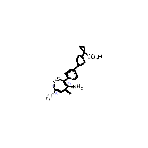 C=C1/C=C(C(F)(F)F)\C=N/S/C(c2ccc(-c3ccc(C4(C(=O)O)CC4)cc3)cc2)=C\1N